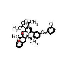 CC(=O)N1C=C(c2cccc(OCc3cccc(Cl)c3)c2)N(N(C(C)=O)[C@@H](Cc2ccccc2)C(=O)C(=O)O)C(=O)[C@H]1C(C)C